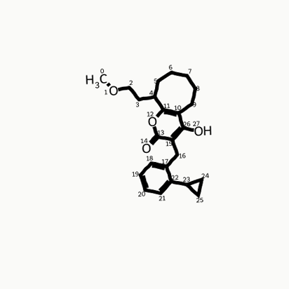 COCCC1CCCCCc2c1oc(=O)c(Cc1ccccc1C1CC1)c2O